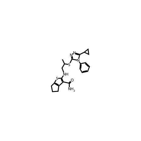 CC(CNc1sc2c(c1C(N)=O)CCC2)Sc1nnc(C2CC2)n1-c1ccccc1